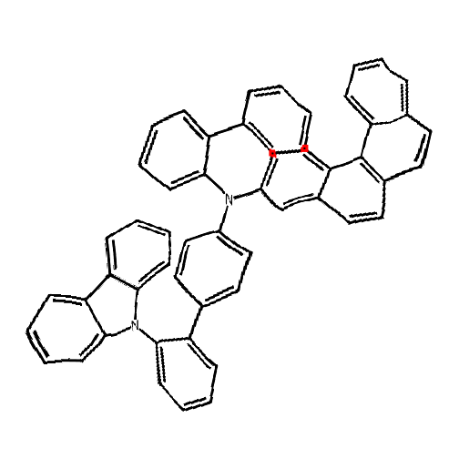 c1ccc(-c2ccccc2N(c2ccc(-c3ccccc3-n3c4ccccc4c4ccccc43)cc2)c2ccc3c(ccc4ccc5ccccc5c43)c2)cc1